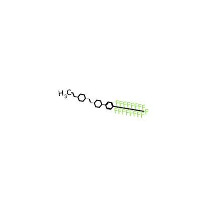 CCC[C@H]1CC[C@H](CC[C@H]2CC[C@H](c3ccc(C(F)(F)C(F)(F)C(F)(F)C(F)(F)C(F)(F)C(F)(F)C(F)(F)C(F)(F)F)cc3)CC2)CC1